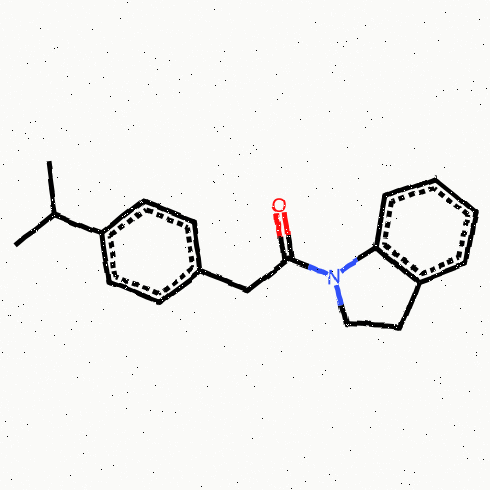 CC(C)c1ccc(CC(=O)N2CCc3cc[c]cc32)cc1